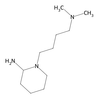 CN(C)CCCCN1CCCCC1N